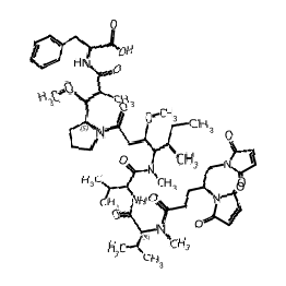 CCC(C)C(C(CC(=O)N1CCC[C@H]1C(OC)C(C)C(=O)NC(Cc1ccccc1)C(=O)O)OC)N(C)C(=O)C(NC(=O)[C@H](C(C)C)N(C)C(=O)CCC(CN1C(=O)C=CC1=O)N1C(=O)C=CC1=O)C(C)C